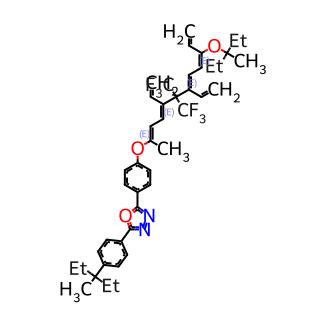 C=C/C(=C\C=C(/C=C)C(/C(C=C)=C/C=C(\C)Oc1ccc(-c2nnc(-c3ccc(C(C)(CC)CC)cc3)o2)cc1)(C(F)(F)F)C(F)(F)F)OC(C)(CC)CC